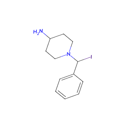 NC1CCN(C(I)c2ccccc2)CC1